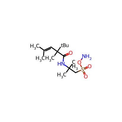 CC(C)=CC(C)(C(=O)NC(C)(C)CS(=O)(=O)ON)C(C)(C)C